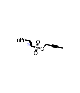 CC#CCOS(=O)(=O)/C=C/CCC